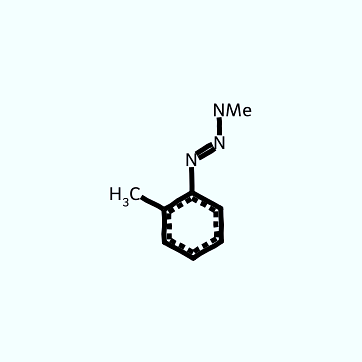 CNN=Nc1ccccc1C